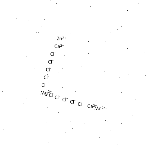 [Ca+2].[Ca+2].[Cl-].[Cl-].[Cl-].[Cl-].[Cl-].[Cl-].[Cl-].[Cl-].[Cl-].[Cl-].[Mg+2].[Mn+2].[Zn+2]